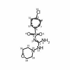 N/C(=N\S(=O)(=O)c1ccc(Cl)cc1)NN1CCOCC1